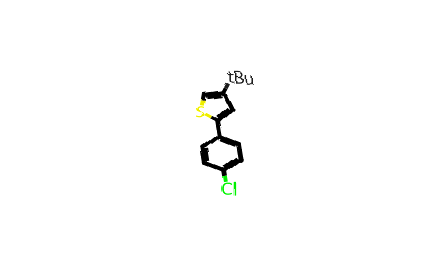 CC(C)(C)c1csc(-c2ccc(Cl)cc2)c1